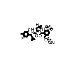 Cc1cc(F)c([C@H](NC(=O)[C@H]2C[C@H]3C[C@H]3N2C(=O)c2cc(S(C)(=O)=O)ccc2CO[Si](C)(C)C(C)(C)C)C2CC2)cc1F